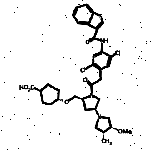 CO[C@H]1CN([C@H]2C[C@@H](CO[C@H]3CC[C@H](C(=O)O)CC3)N(C(=O)Cc3cc(Cl)c(NC(=O)c4csc5ccccc45)cc3Cl)C2)C[C@H]1C